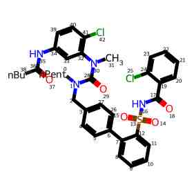 CCCCCN(Cc1ccc(-c2ccccc2S(=O)(=O)NC(=O)c2ccccc2Cl)cc1)C(=O)N(C)c1cc(NC(=O)CCCC)ccc1Cl